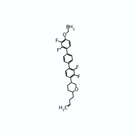 BCOc1ccc(-c2ccc(-c3ccc(C4CCC(CCC=C)OC4)c(F)c3F)cc2)c(F)c1F